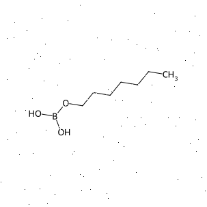 CCCCCCCOB(O)O